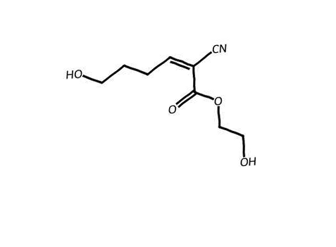 N#CC(=CCCCO)C(=O)OCCO